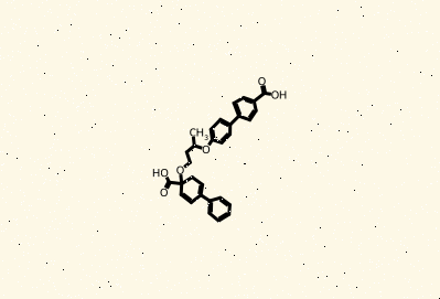 CC(CCOC1(C(=O)O)C=CC(c2ccccc2)=CC1)Oc1ccc(-c2ccc(C(=O)O)cc2)cc1